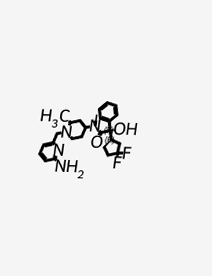 CC1CC(N(I)C(=O)[C@](O)(c2ccccc2)[C@@H]2CCC(F)(F)C2)CCN1Cc1cccc(N)n1